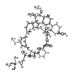 CCn1c(-c2cc(C3CCN(C)CC3)cnc2[C@H](C)OC)c2c3cc(ccc31)-c1cc(CF)cc(c1)C[C@H](NC(=O)[C@H]1C[C@@H]1C(C)(F)F)C(=O)N1CCC[C@H](N1)C(=O)OCC(C)(C)C2